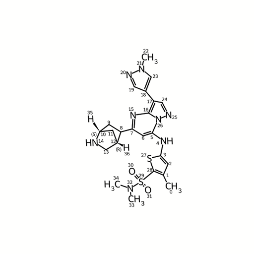 Cc1cc(Nc2cc(C3C[C@@H]4C[C@H]3CN4)nc3c(-c4cnn(C)c4)cnn23)sc1S(=O)(=O)N(C)C